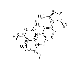 CCCC(=O)N(Cc1ccc(-n2c(C)ccc2C#N)cc1)c1nc(C)cc(C)c1[N+](=O)[O-]